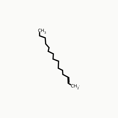 [CH2]/C=C/CCCCCCCCCCCC